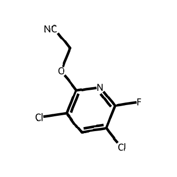 N#CCOc1nc(F)c(Cl)cc1Cl